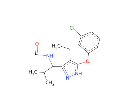 CCc1c(C(NC=O)C(C)C)n[nH]c1Oc1cccc(Cl)c1